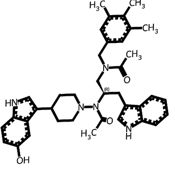 CC(=O)N(Cc1cc(C)c(C)c(C)c1)C[C@@H](Cc1c[nH]c2ccccc12)N(C(C)=O)N1CCC(c2c[nH]c3ccc(O)cc23)CC1